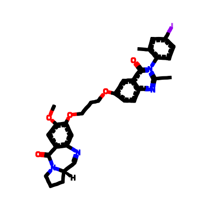 COc1cc2c(cc1OCCCOc1ccc3nc(C)n(-c4ccc(I)cc4C)c(=O)c3c1)N=C[C@@H]1CCCN1C2=O